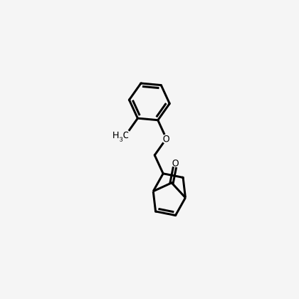 Cc1ccccc1OCC1CC2C=CC1C2=O